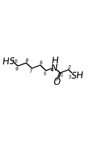 O=C(CS)NCCCCCS